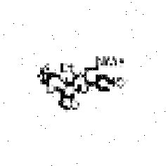 CCC(c1nc2occc2c(=O)n1Cc1cncs1)N(CCNC)C(=O)c1cc[n+]([O-])cc1